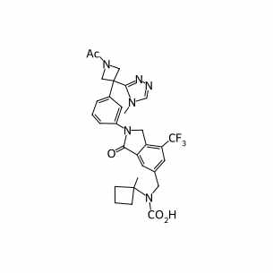 CC(=O)N1CC(c2cccc(N3Cc4c(cc(CN(C(=O)O)C5(C)CCC5)cc4C(F)(F)F)C3=O)c2)(c2nncn2C)C1